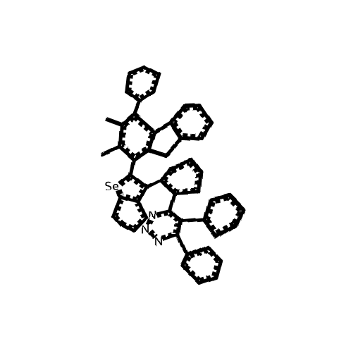 Cc1c(C)c(-c2ccccc2)c2c(c1-c1[se]c3ccccc3c1-c1ccccc1-c1nnnc(-c3ccccc3)c1-c1ccccc1)Cc1ccccc1-2